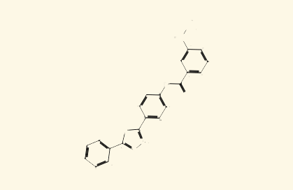 O=C(Nc1ccc(-c2nnc(-c3ccccc3)o2)cc1)c1cccc(OC(F)(F)F)c1